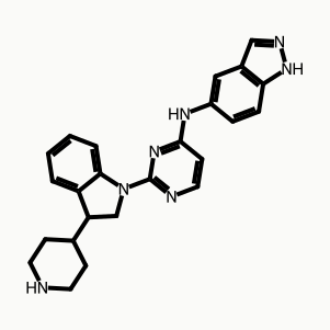 c1ccc2c(c1)C(C1CCNCC1)CN2c1nccc(Nc2ccc3[nH]ncc3c2)n1